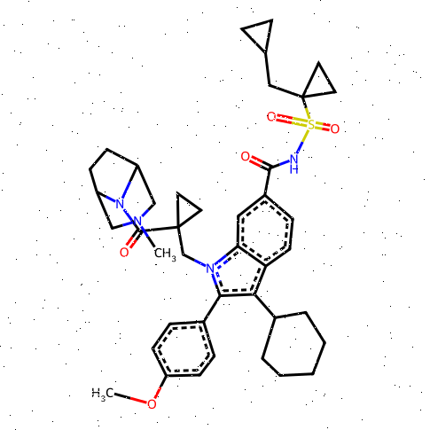 COc1ccc(-c2c(C3CCCCC3)c3ccc(C(=O)NS(=O)(=O)C4(CC5CC5)CC4)cc3n2CC2(C(=O)N3C4CCC3CN(C)C4)CC2)cc1